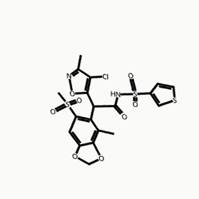 Cc1noc(C(C(=O)NS(=O)(=O)c2ccsc2)c2c(S(C)(=O)=O)cc3c(c2C)OCO3)c1Cl